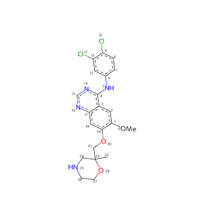 COc1cc2c(Nc3ccc(Cl)c(Cl)c3)ncnc2cc1OCC1(C)CNCCO1